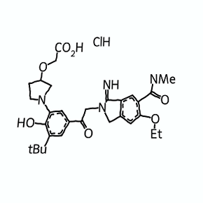 CCOc1cc2c(cc1C(=O)NC)C(=N)N(CC(=O)c1cc(N3CCC(OCC(=O)O)C3)c(O)c(C(C)(C)C)c1)C2.Cl